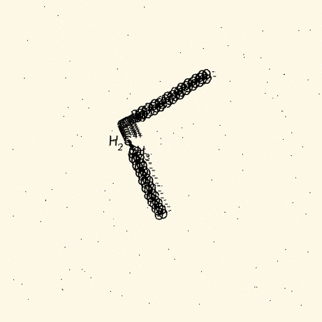 C=CC=CC.O=P([O-])([O-])[O-].O=P([O-])([O-])[O-].O=P([O-])([O-])[O-].O=P([O-])([O-])[O-].O=P([O-])([O-])[O-].O=P([O-])([O-])[O-].O=P([O-])([O-])[O-].O=P([O-])([O-])[O-].O=P([O-])([O-])[O-].O=P([O-])([O-])[O-].O=P([O-])([O-])[O-].O=P([O-])([O-])[O-].O=P([O-])([O-])[O-].O=P([O-])([O-])[O-].O=P([O-])([O-])[O-].O=P([O-])([O-])[O-].O=P([O-])([O-])[O-].O=P([O-])([O-])[O-].O=P([O-])([O-])[O-].O=P([O-])([O-])[O-].[C+4].[C+4].[C+4].[C+4].[C+4].[C+4].[C+4].[C+4].[C+4].[C+4].[C+4].[C+4].[C+4].[C+4].[C+4]